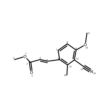 COC(=O)C=Cc1ccc(OC)c(C#N)c1C